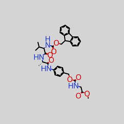 COC(=O)CNC(=O)OCc1ccc(NC(=O)[C@H](C)NC(=O)[C@@H](NC(=O)OCC2c3ccccc3-c3ccccc32)C(C)C)cc1